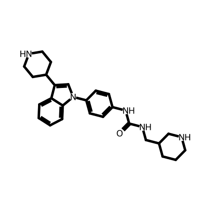 O=C(NCC1CCCNC1)Nc1ccc(-n2cc(C3CCNCC3)c3ccccc32)cc1